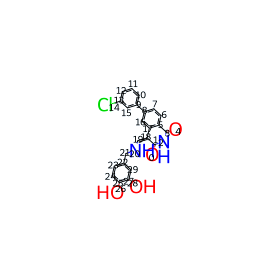 O=C1NC(=O)c2ccc(-c3cccc(Cl)c3)cc2C1=CNCc1ccc(O)c(O)c1